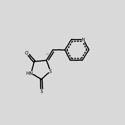 O=C1NC(=S)S/C1=C\c1cccnc1